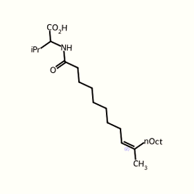 CCCCCCCC/C(C)=C\CCCCCCCC(=O)NC(C(=O)O)C(C)C